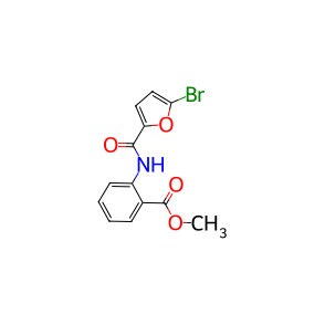 COC(=O)c1ccccc1NC(=O)c1ccc(Br)o1